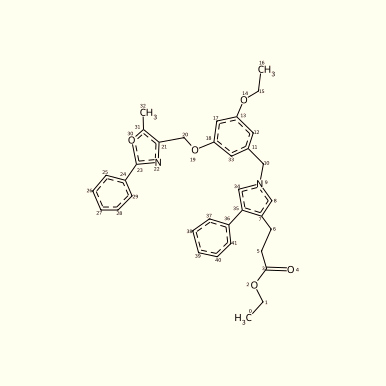 CCOC(=O)CCc1cn(Cc2cc(OCC)cc(OCc3nc(-c4ccccc4)oc3C)c2)cc1-c1ccccc1